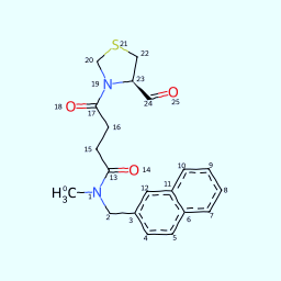 CN(Cc1ccc2ccccc2c1)C(=O)CCC(=O)N1CSC[C@H]1C=O